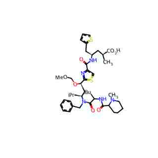 CCC(C)C(NC(=O)C1CCCCN1C)C(=O)N(Cc1ccccc1)[C@H](C[C@@H](OCOC)c1nc(C(=O)N[C@@H](Cc2cccs2)C[C@H](C)C(=O)O)cs1)C(C)C